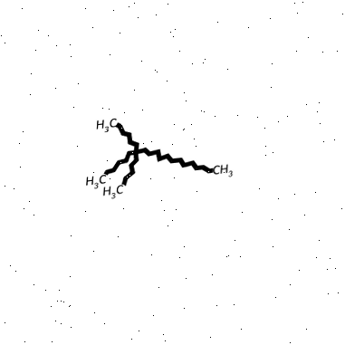 CCCCCCCCCCCCCC(CCCCCC)(CCCCCC)CCCCCC